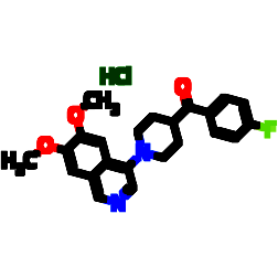 COc1cc2cncc(N3CCC(C(=O)c4ccc(F)cc4)CC3)c2cc1OC.Cl